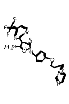 NC(=O)C(C(=S)Nc1ccc(OCCn2ccnc2)cc1)c1nccc(C(F)(F)F)n1